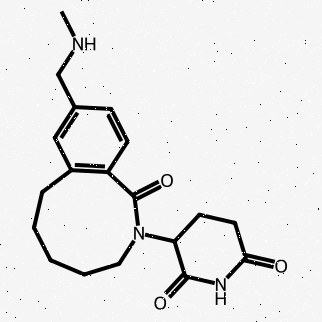 CNCc1ccc2c(c1)CCCCCN(C1CCC(=O)NC1=O)C2=O